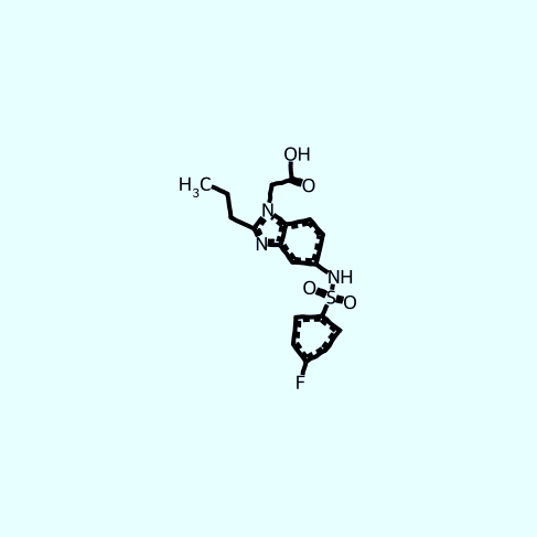 CCCc1nc2cc(NS(=O)(=O)c3ccc(F)cc3)ccc2n1CC(=O)O